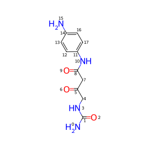 NC(=O)NCC(=O)CC(=O)Nc1ccc(N)cc1